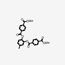 COC(=O)c1ccc(C(=O)Oc2ccc(C)cc2OC(=O)c2ccc(C(=O)OC)cc2)cc1